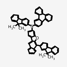 CC1(C)c2ccccc2-c2ccc(-c3c4ccccc4cc4c3oc3cc(N(c5ccc6c(c5)C(C)(C)c5ccccc5-6)c5ccc6c7ccccc7c7ccccc7c6c5)ccc34)cc21